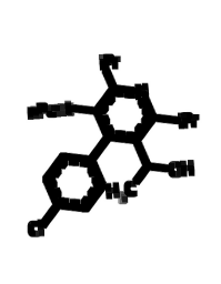 CCCCCc1c(C(C)C)nc(C(C)C)c(C(C)O)c1-c1ccc(Cl)cc1